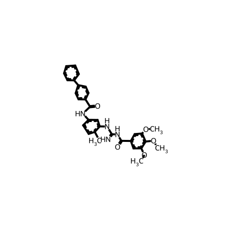 COc1cc(C(=O)NC(=N)Nc2cc(NC(=O)c3ccc(-c4ccccc4)cc3)ccc2C)cc(OC)c1OC